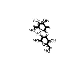 CC1C(OC2C(O)C(O)OC(CO)C2O)OC(CO)C(O)C1O